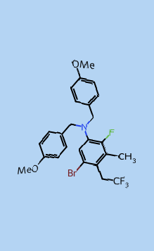 COc1ccc(CN(Cc2ccc(OC)cc2)c2cc(Br)c(CC(F)(F)F)c(C)c2F)cc1